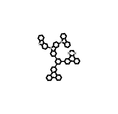 c1ccc2c(c1)sc1ccc(-n3c4ccc(-c5cc(-c6ccc7c8ccccc8c8ccccc8c7c6)cc(-c6ccc7c8ccccc8c8nccnc8c7c6)c5)cc4c4cc(-n5c6ccccc6c6ccccc65)ccc43)cc12